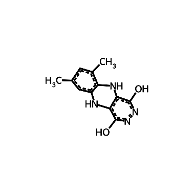 Cc1cc(C)c2c(c1)Nc1c(O)nnc(O)c1N2